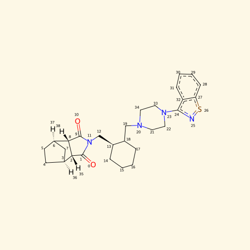 O=C1[C@@H]2[C@H]3CC[C@H](C3)[C@@H]2C(=O)N1C[C@@H]1CCCCC1CN1CCN(c2nsc3ccccc23)CC1